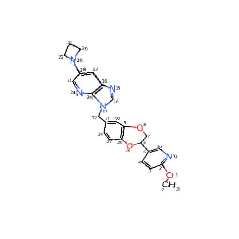 COc1ccc(C2COc3cc(Cn4cnc5cc(N6CCC6)cnc54)ccc3O2)cn1